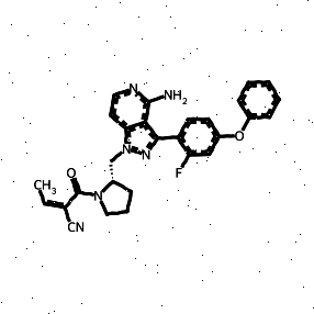 C/C=C(/C#N)C(=O)N1CCC[C@H]1Cn1nc(-c2ccc(Oc3ccccc3)cc2F)c2c(N)nccc21